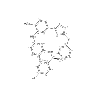 COc1ncc(-c2cnn(Cc3ccccc3)c2)cc1Nc1ncc(C)c(N[C@@H](C)c2ccc(F)cn2)n1